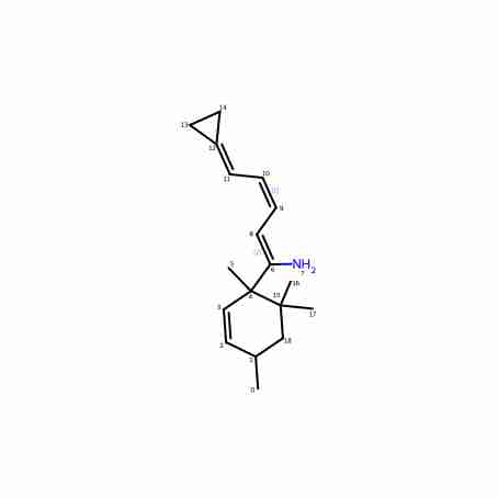 CC1C=CC(C)(/C(N)=C/C=C\C=C2CC2)C(C)(C)C1